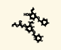 C=Cc1cc(OCc2ccccc2)ccc1O.C=Cc1cc(OCc2ccccc2)ccc1OCC(=O)OCC